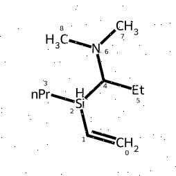 C=C[SiH](CCC)C(CC)N(C)C